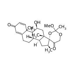 COC1(C)OCC(=O)[C@@]2(O1)[C@@H](C)C[C@H]1[C@@H]3CCC4=CC(=O)C=C[C@]4(C)[C@@]3(F)[C@@H](O)C[C@@]12C